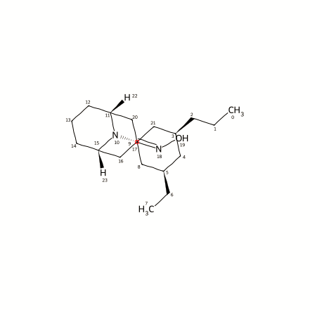 CCC[C@H]1C[C@@H](CC)C[C@H](N2[C@@H]3CCC[C@H]2C/C(=N/O)C3)C1